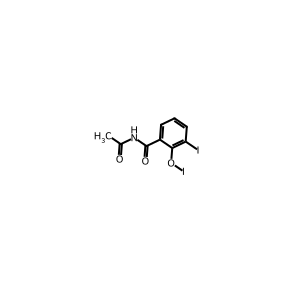 CC(=O)NC(=O)c1cccc(I)c1OI